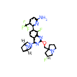 Nc1ccc(C(F)(F)F)c(-c2ccc3c(N4C[C@H]5CC[C@@H](C4)N5)nc(OC[C@@]45CCCN4C[C@H](F)C5)nc3c2F)n1